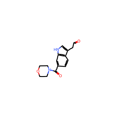 O=CCc1c[nH]c2cc(C(=O)N3CCOCC3)ccc12